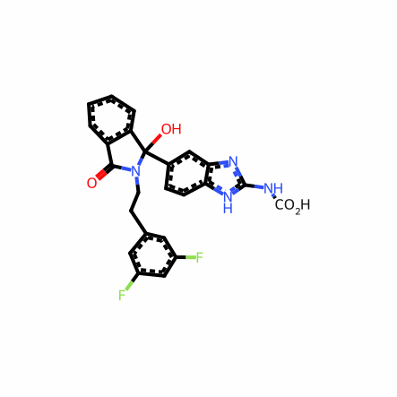 O=C(O)Nc1nc2cc(C3(O)c4ccccc4C(=O)N3CCc3cc(F)cc(F)c3)ccc2[nH]1